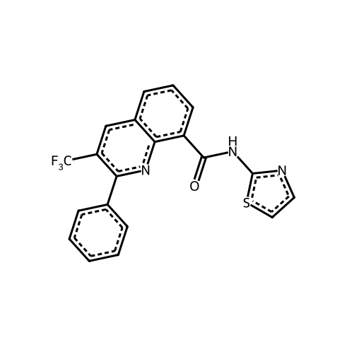 O=C(Nc1nccs1)c1cccc2cc(C(F)(F)F)c(-c3ccccc3)nc12